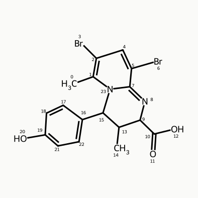 CC1=C(Br)C=C(Br)C2=NC(C(=O)O)C(C)C(c3ccc(O)cc3)N21